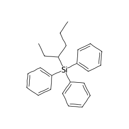 CCCC(CC)[Si](c1ccccc1)(c1ccccc1)c1ccccc1